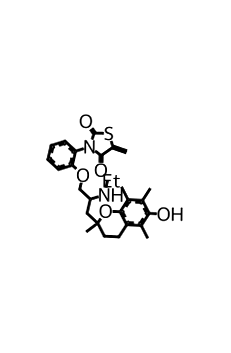 C=C1SC(=O)N(c2ccccc2OCC(CC2(C)CCc3c(C)c(O)c(C)c(C)c3O2)NCC)C1=O